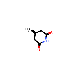 C=C1CC(=O)NC(=O)C1